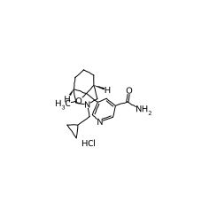 COC1(c2cncc(C(N)=O)c2)[C@@H]2CCC[C@H]1CN(CC1CC1)C2.Cl